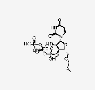 CSCOC[C@H]1O[C@@H](n2ccc(=O)[nH]c2=O)[C@H](O)[C@@H]1OP(=O)(O)OP(=O)(O)OP(=O)(O)O